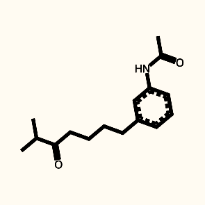 CC(=O)Nc1cccc(CCCCC(=O)C(C)C)c1